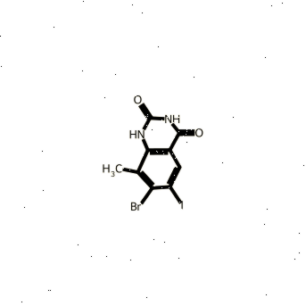 Cc1c(Br)c(I)cc2c(=O)[nH]c(=O)[nH]c12